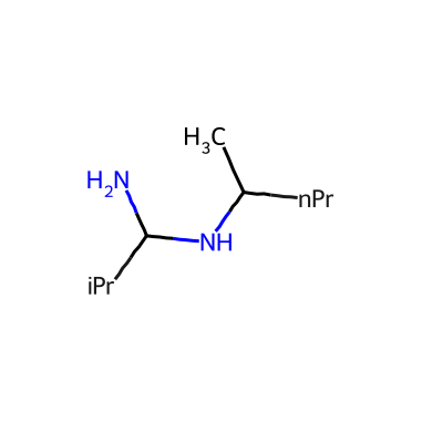 CCCC(C)NC(N)C(C)C